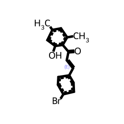 Cc1cc(C)c(C(=O)/C=C/c2ccc(Br)cc2)c(O)c1